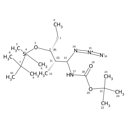 C[CH][C@@H](O[Si](C)(C)C(C)(C)C)[C@@H](C)C(N=[N+]=[N-])NC(=O)OC(C)(C)C